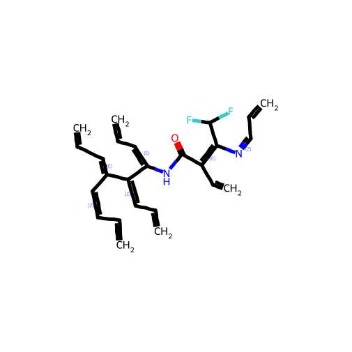 C=C\C=C/C(=C\C=C)C(=C/C=C)/C(=C\C=C)NC(=O)/C(C=C)=C(/N=C\C=C)C(F)F